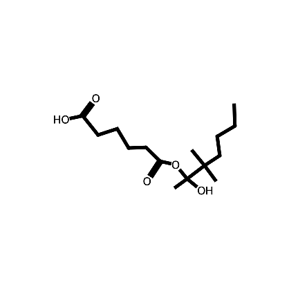 CCCCC(C)(C)C(C)(O)OC(=O)CCCCC(=O)O